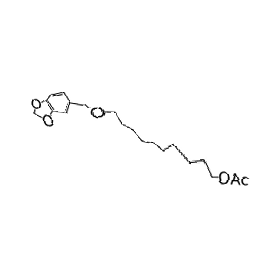 CC(=O)OCCCCCCCCCCOCc1ccc2c(c1)OCO2